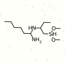 CCCCCC(N)NC(CC)C[SiH](OC)OC